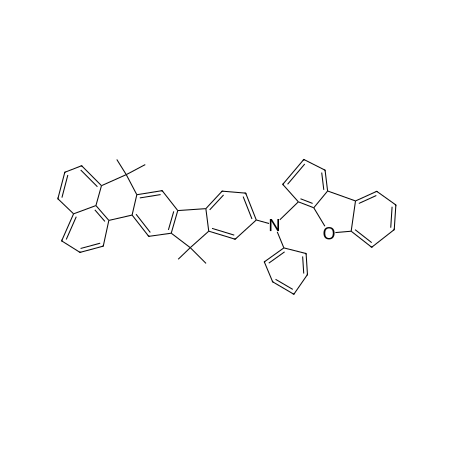 CC1(C)c2cc(N(c3ccccc3)c3cccc4c3oc3ccccc34)ccc2-c2cc3c(cc21)-c1cccc2cccc(c12)C3(C)C